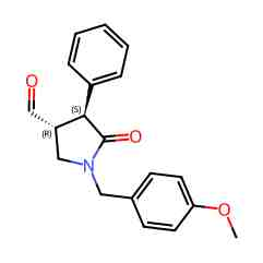 COc1ccc(CN2C[C@H](C=O)[C@@H](c3ccccc3)C2=O)cc1